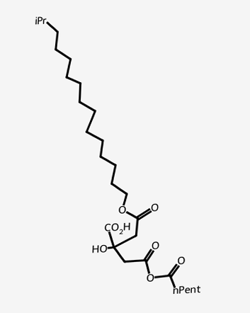 CCCCCC(=O)OC(=O)CC(O)(CC(=O)OCCCCCCCCCCCCCC(C)C)C(=O)O